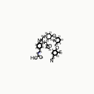 N#Cc1ccc(OCc2cccc(OC3CCN(Cc4nc5ccc(/C=C/C(=O)O)cc5n4C[C@@H]4CCO4)CC3)n2)c(F)c1